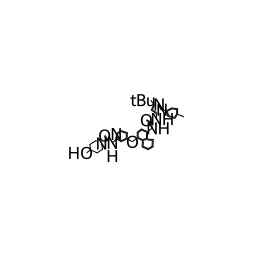 Cc1ccc(-n2nc(C(C)(C)C)cc2NC(=O)Nc2ccc(Oc3ccnc(NC(=O)N4CCC(O)CC4)c3)c3ccccc23)cc1